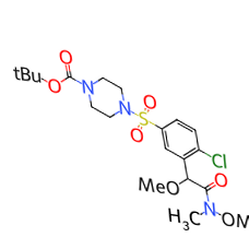 COC(C(=O)N(C)OC)c1cc(S(=O)(=O)N2CCN(C(=O)OC(C)(C)C)CC2)ccc1Cl